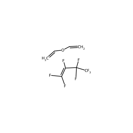 C=COC=C.FC(F)=C(F)C(F)(F)C(F)(F)F